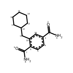 NC(=O)c1ccc(C(N)=O)c(CC2CCCCC2)c1